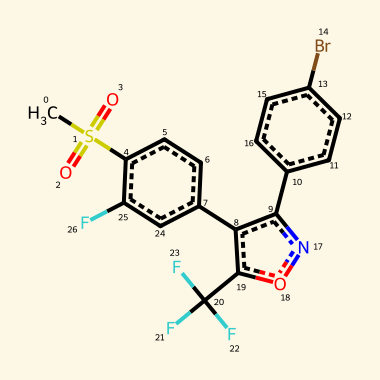 CS(=O)(=O)c1ccc(-c2c(-c3ccc(Br)cc3)noc2C(F)(F)F)cc1F